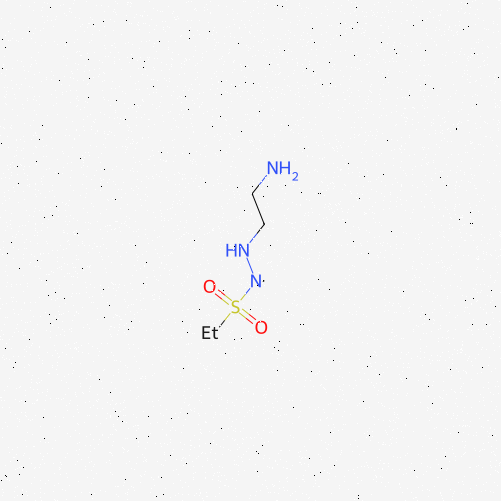 CCS(=O)(=O)[N]NCCN